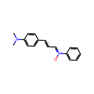 CN(C)c1ccc(/C=C/C=[N+](\[O-])c2ccccc2)cc1